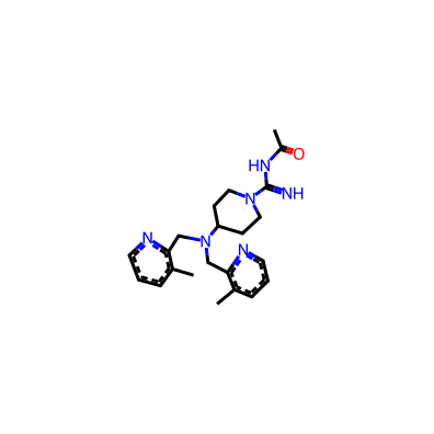 CC(=O)NC(=N)N1CCC(N(Cc2ncccc2C)Cc2ncccc2C)CC1